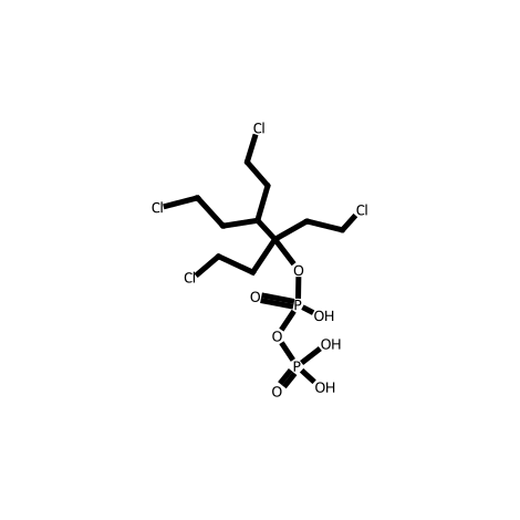 O=P(O)(O)OP(=O)(O)OC(CCCl)(CCCl)C(CCCl)CCCl